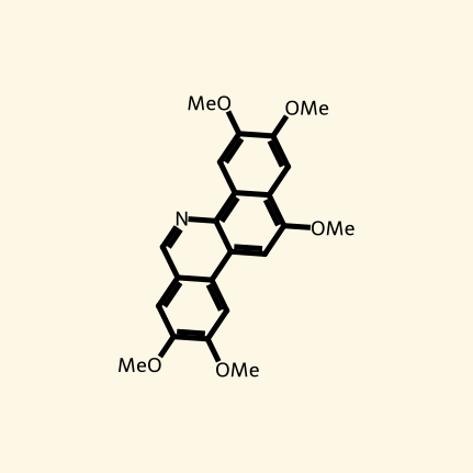 COc1cc2cnc3c4cc(OC)c(OC)cc4c(OC)cc3c2cc1OC